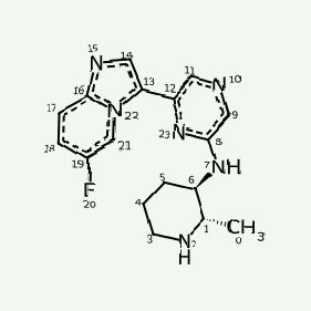 C[C@@H]1NCCC[C@H]1Nc1cncc(-c2cnc3ccc(F)cn23)n1